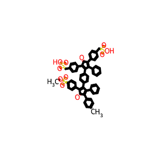 COS(=O)(=O)c1ccc(C2=C(c3ccc(C4=C(c5ccc(CS(=O)(=O)O)cc5)C(=O)C(c5ccc(CS(=O)(=O)O)cc5)=C4c4ccccc4)cc3)C(c3ccccc3)=C(c3ccc(C)cc3)C2=O)cc1